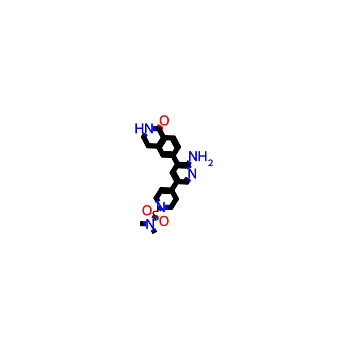 CN(C)S(=O)(=O)N1CC=C(c2cnc(N)c(-c3ccc4c(c3)CCNC4=O)c2)CC1